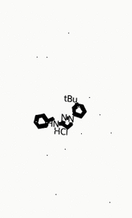 CC(C)(C)c1cccc(N2CCC(NCc3ccccc3)=N2)c1.Cl